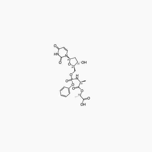 C[C@H](NP(=O)(OC[C@H]1O[C@@H](n2ccc(=O)[nH]c2=O)C[C@@H]1O)Oc1ccccc1)C(=O)O[C@@H](C)C(=O)O